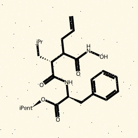 C=CCC(C(=O)NO)[C@@H](CC(C)C)C(=O)N[C@@H](Cc1ccccc1)C(=O)O[C@H](C)CCC